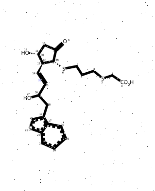 O=C(O)CSCCCS[C@H]1C(=O)C[C@@H](O)[C@@H]1/C=C/C(O)Cc1csc2ccccc12